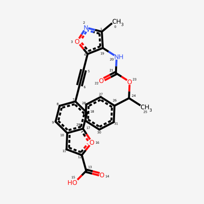 Cc1noc(C#Cc2ccc3cc(C(=O)O)oc3c2)c1NC(=O)OC(C)c1ccccc1